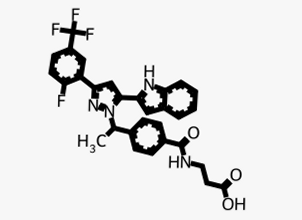 CC(c1ccc(C(=O)NCCC(=O)O)cc1)n1nc(-c2cc(C(F)(F)F)ccc2F)cc1-c1cc2ccccc2[nH]1